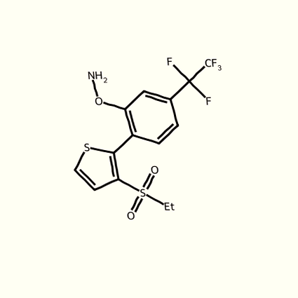 CCS(=O)(=O)c1ccsc1-c1ccc(C(F)(F)C(F)(F)F)cc1ON